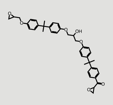 CC(C)(c1ccc(OCC(O)COc2ccc(C(C)(C)c3ccc(C(=O)C4CO4)cc3)cc2)cc1)c1ccc(OCC2CO2)cc1